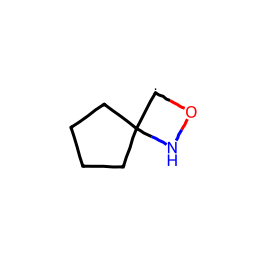 [CH]1ONC12CCCC2